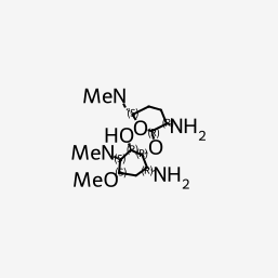 CNC[C@@H]1CC[C@@H](N)[C@@H](O[C@H]2[C@H](O)[C@H](NC)[C@@H](OC)C[C@H]2N)O1